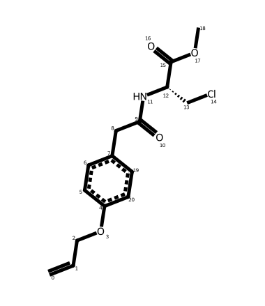 C=CCOc1ccc(CC(=O)N[C@@H](CCl)C(=O)OC)cc1